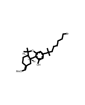 COC=C1CC[C@@H]2[C@@H](C1)c1c(O)cc(C(C)(C)CCCCCCBr)cc1OC2(C)C